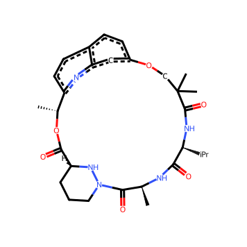 CC(C)[C@@H]1NC(=O)C(C)(C)COc2ccc3ccc(nc3c2)[C@@H](C)OC(=O)[C@H]2CCCN(N2)C(=O)[C@H](C)NC1=O